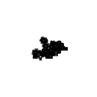 COC(=O)NC(C(=O)NCCC(O)C(NC(=O)C(N1CCN(Cc2cccc(N)c2)C1=O)C(C)(C)C)C(Cc1ccc(-c2ccccn2)cc1)c1ccccc1)C(C)(C)C